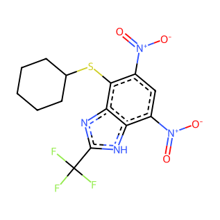 O=[N+]([O-])c1cc([N+](=O)[O-])c2[nH]c(C(F)(F)F)nc2c1SC1CCCCC1